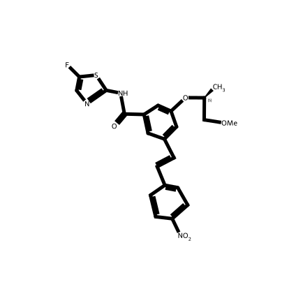 COC[C@H](C)Oc1cc(C=Cc2ccc([N+](=O)[O-])cc2)cc(C(=O)Nc2ncc(F)s2)c1